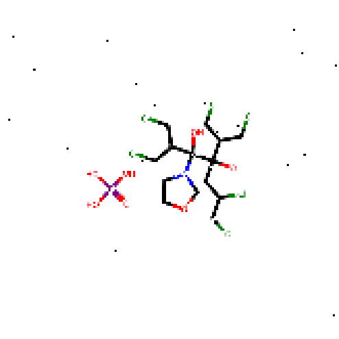 O=P(O)(O)O.OC(CC(Cl)CCl)(C(CCl)CCl)C(O)(C(CCl)CCl)N1CCOC1